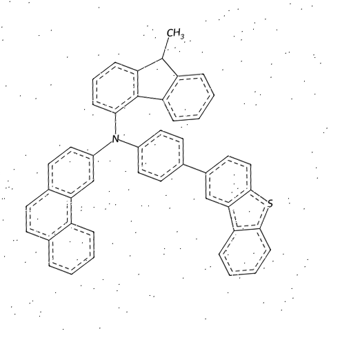 CC1c2ccccc2-c2c1cccc2N(c1ccc(-c2ccc3sc4ccccc4c3c2)cc1)c1ccc2ccc3ccccc3c2c1